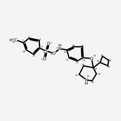 Cc1ccc(S(=O)(=O)ONc2ccc(OC3(C4CCC4)CCNCC3)cc2)cc1